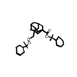 CC(C)(OOCC12CC3CC(C1)CC(C(=O)OC(C)(C)C1CCCCC1)(C3)C2)C1CCCCC1